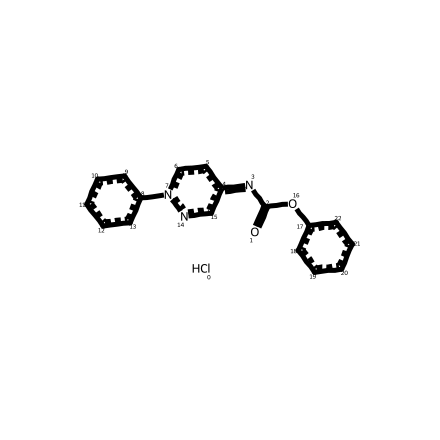 Cl.O=C(N=c1ccn(-c2ccccc2)nc1)Oc1ccccc1